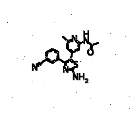 CC(=O)Nc1cc(-c2sc(N)nc2-c2cccc(C#N)c2)cc(C)n1